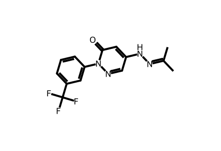 CC(C)=NNc1cnn(-c2cccc(C(F)(F)F)c2)c(=O)c1